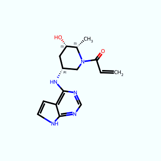 C=CC(=O)N1C[C@H](Nc2ncnc3[nH]ccc23)C[C@H](O)[C@@H]1C